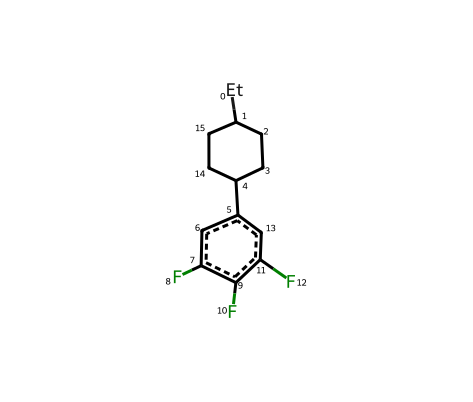 CCC1CCC(c2cc(F)c(F)c(F)c2)CC1